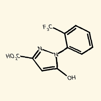 O=C(O)c1cc(O)n(-c2ccccc2C(F)(F)F)n1